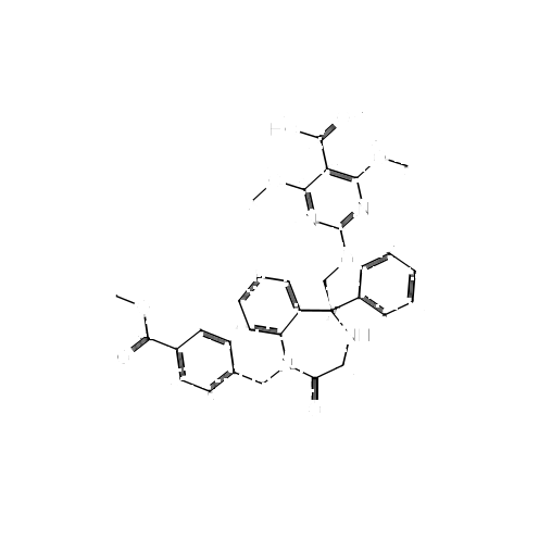 COC(=O)c1ccc(CN2C(=O)CN[C@@](COc3nc(OC)c(C(=O)O)c(OC)n3)(c3ccccc3)c3ccccc32)cc1